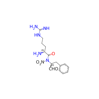 N=C(N)NCCC[C@H](N)C(=O)N([C@H](C=O)Cc1ccccc1)[N+](=O)[O-]